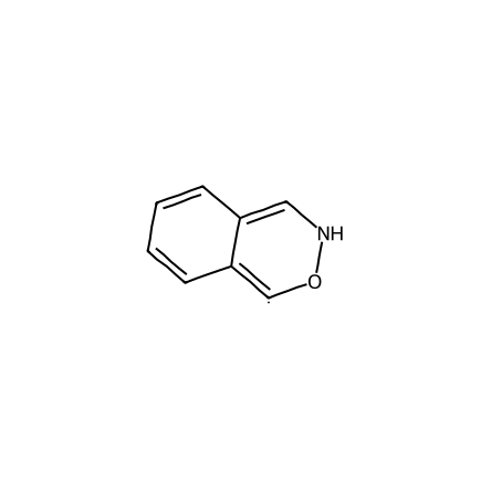 [C]1=c2ccccc2=CNO1